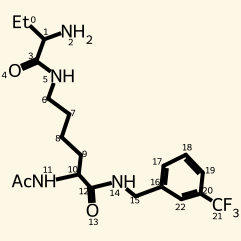 CCC(N)C(=O)NCCCCC(NC(C)=O)C(=O)NCc1cccc(C(F)(F)F)c1